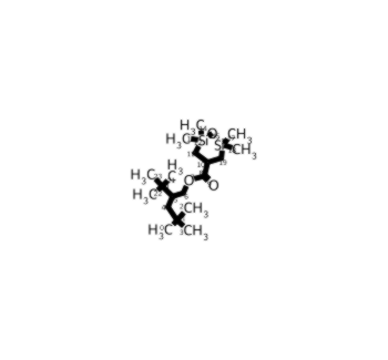 CC(C)(C)CC(COC(=O)C1C[Si](C)(C)O[Si](C)(C)C1)C(C)(C)C